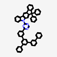 c1ccc(-c2cccc(-c3cc(-c4ccccc4)cc(-c4cccc(-c5ncnc(-n6c7ccccc7c7cc8c(cc76)C(c6ccccc6)(c6ccccc6)c6ccccc6-8)n5)c4)c3)c2)cc1